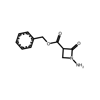 NN1CC(C(=O)OCc2ccccc2)C1=O